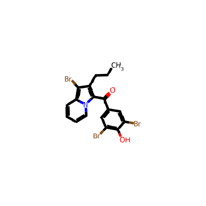 CCCc1c(Br)c2ccccn2c1C(=O)c1cc(Br)c(O)c(Br)c1